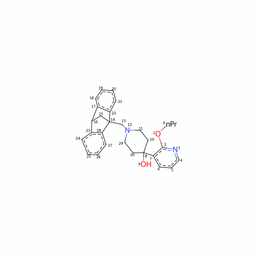 CCCOc1ncccc1C1(O)CCN(CC23CC(c4ccccc42)c2ccccc23)CC1